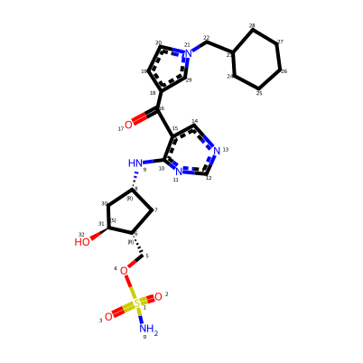 NS(=O)(=O)OC[C@H]1C[C@@H](Nc2ncncc2C(=O)c2ccn(CC3CCCCC3)c2)C[C@@H]1O